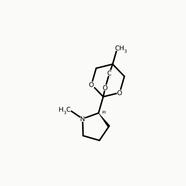 CN1CCC[C@@H]1C12OCC(C)(CO1)CO2